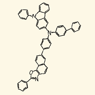 c1ccc(-c2ccc(N(c3ccc(-c4ccc5c(ccc6nc(-c7ccccc7)oc65)c4)cc3)c3ccc4c(c3)c3ccccc3n4-c3ccccc3)cc2)cc1